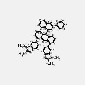 Cc1nc2ccc(-c3cccc4c(-c5cc(-c6ccccc6)cc6ccccc56)c5cccc(-c6ccc7nc(C)n(C)c7c6)c5cc34)cc2n1C